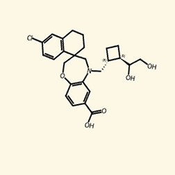 O=C(O)c1ccc2c(c1)N(C[C@@H]1CC[C@H]1C(O)CO)CC1(CCCc3cc(Cl)ccc31)CO2